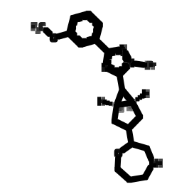 CC(C)n1nc(-c2cccc(OC(F)(F)F)c2)nc1C1[C@H]2CC(C3CNCCCO3)C[C@@H]12